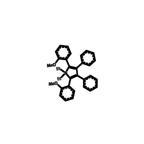 CC[Si]1(CC)C(c2ccccc2OC)=C(c2ccccc2)C(c2ccccc2)=C1c1ccccc1OC